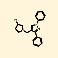 OC1CCN(Cc2cn(-c3ccccc3)nc2-c2ccccc2)C1